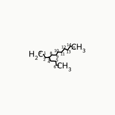 C=CCC(CCCC)CCCCCCCC